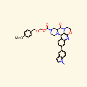 COc1ccc(COCOC(=O)N2CCN3c4c5c(nc6cc(-c7ccc8c(ccn8C)c7)ccc46)OCCN5C(=O)C3C2)cc1